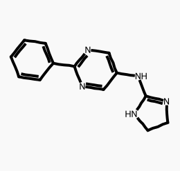 c1ccc(-c2ncc(NC3=NCCN3)cn2)cc1